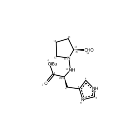 CC(C)COC(=O)[C@H](Cc1c[nH]cn1)NN1CCC[C@H]1C=O